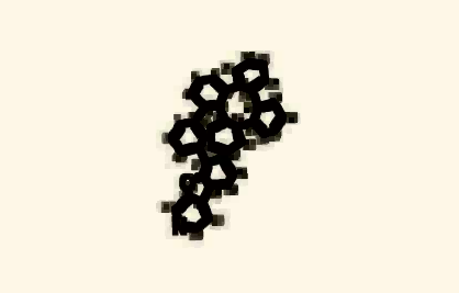 c1cc(-c2cccc3c2-c2ccccc2-c2ccccc2-c2ccccc2-3)cc(-c2cccc3c2oc2cnccc23)c1